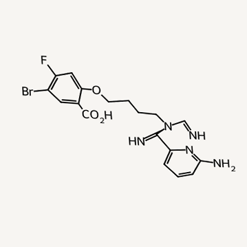 N=CN(CCCCOc1cc(F)c(Br)cc1C(=O)O)C(=N)c1cccc(N)n1